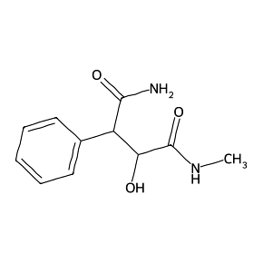 CNC(=O)C(O)C(C(N)=O)c1ccccc1